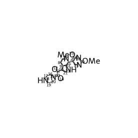 COc1ncc(-c2nccc3c(C(=O)C(=O)N4CCNCC4)c[nH]c23)c(OC)n1